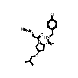 CC(C)CO[C@@H]1C[C@@H](C(=O)NCc2ccc(Cl)cc2)N(C(=O)CN=[N+]=[N-])C1